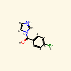 O=C(c1ccc(Br)cc1)n1ccnc1